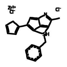 CC1=NC2=CC(C3=CC=CC3)=C3C2=C1[SiH]3Cc1ccccc1.[Cl-].[Cl-].[Zr+2]